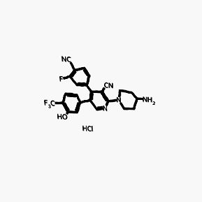 Cl.N#Cc1ccc(-c2c(-c3ccc(C(F)(F)F)c(O)c3)cnc(N3CCC(N)CC3)c2C#N)cc1F